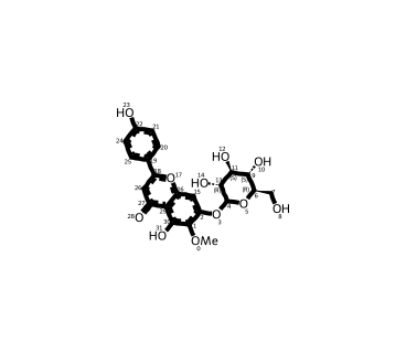 COc1c(OC2O[C@H](CO)[C@@H](O)[C@H](O)[C@H]2O)cc2oc(-c3ccc(O)cc3)cc(=O)c2c1O